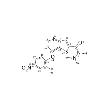 CN(C)N(C)C(=O)c1cc2nccc(Oc3ccc([N+](=O)[O-])cc3F)c2s1